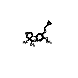 COc1ccc([C@H]2CNC[C@@]2(C)[C@@H](C)O)cc1OCC1CC1